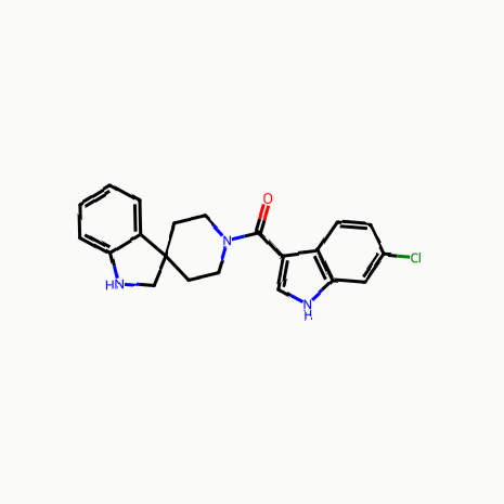 O=C(c1c[nH]c2cc(Cl)ccc12)N1CCC2(CC1)CNc1ccccc12